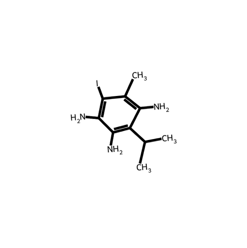 Cc1c(N)c(C(C)C)c(N)c(N)c1I